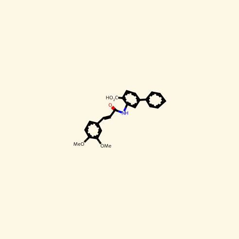 COc1ccc(C=CC(=O)Nc2cc(-c3ccccc3)ccc2C(=O)O)cc1OC